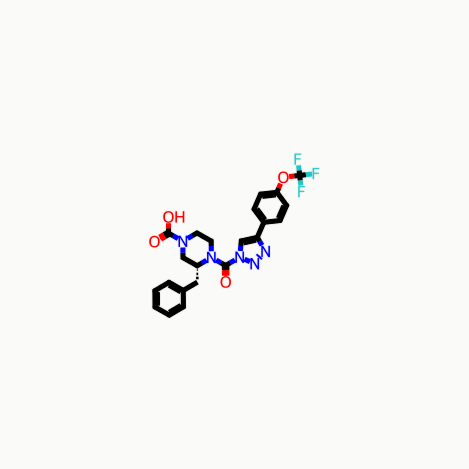 O=C(O)N1CCN(C(=O)n2cc(-c3ccc(OC(F)(F)F)cc3)nn2)[C@H](Cc2ccccc2)C1